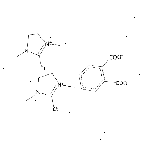 CCC1=[N+](C)CCN1C.CCC1=[N+](C)CCN1C.O=C([O-])c1ccccc1C(=O)[O-]